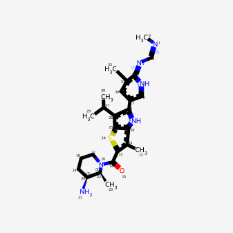 C/N=C\N=c1/[nH]cc(-c2[nH]c3c(C)c(C(=O)N4CCC[C@H](N)[C@@H]4C)sc3c2C(C)C)cc1C